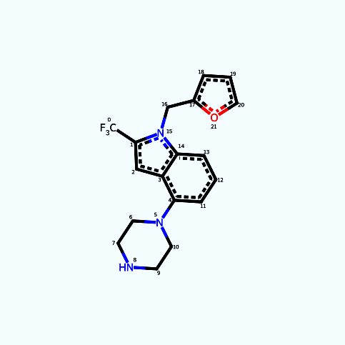 FC(F)(F)c1cc2c(N3CCNCC3)cccc2n1Cc1ccco1